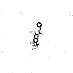 CCOP(=O)(OCC)C(F)(F)c1ccc(CC(NC(=O)OCc2ccccc2)C(=O)O)cc1